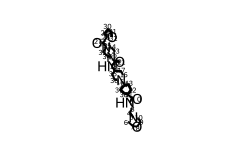 O=C(NCCN1CCOCC1)c1ccc(N2CCC(NC(=O)N3CCN(C(=O)c4ccco4)CC3)CC2)cc1